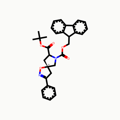 CC(C)(C)OC(=O)C1C[C@]2(CC(c3ccccc3)=NO2)CN1C(=O)OCC1c2ccccc2-c2ccccc21